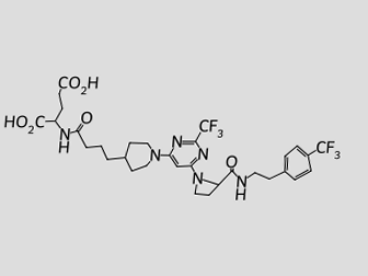 O=C(O)CCC(NC(=O)CCCC1CCN(c2cc(N3CCC3C(=O)NCCc3ccc(C(F)(F)F)cc3)nc(C(F)(F)F)n2)CC1)C(=O)O